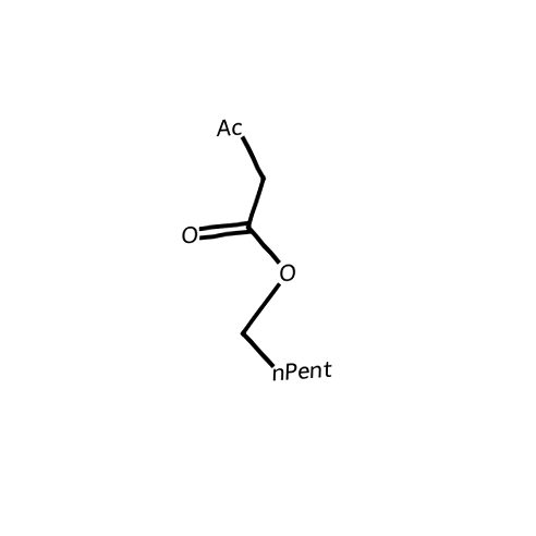 CCCCCCOC(=O)CC(C)=O